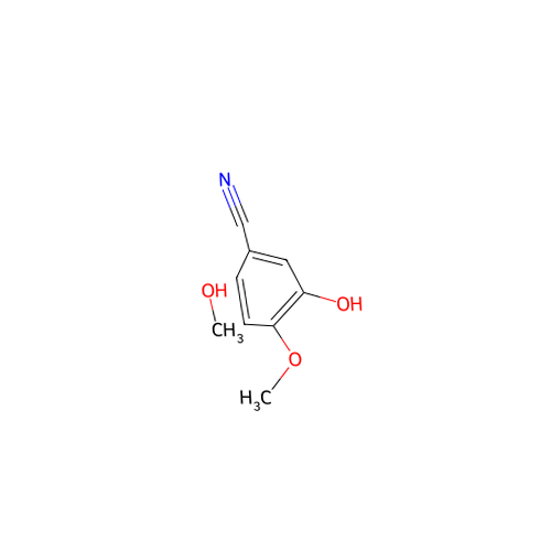 CO.COc1ccc(C#N)cc1O